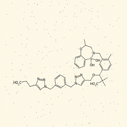 Cc1ccc(C(OCc2cn(Cc3cccc(Cn4cc(CCC(=O)O)nn4)c3)nn2)C(C)(C)C(=O)O)cc1CN1CC(C)Oc2ccccc2S1(O)O